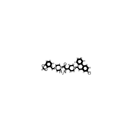 N[C@@H](C(=O)N1CCN(Cc2cccc3c2OCO3)CC1)C1CCN(CCc2cc(Cl)ccc2-c2ccccc2)CC1